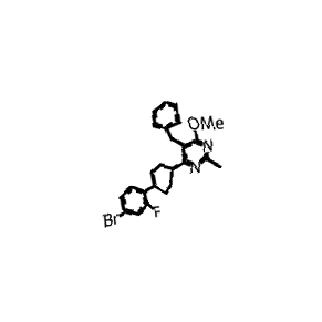 COc1nc(C)nc(C2CC=C(c3ccc(Br)cc3F)CC2)c1Cc1ccccc1